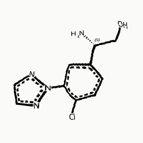 N[C@H](CO)c1ccc(Cl)c(-n2nccn2)c1